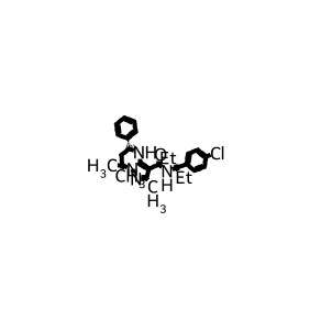 CCC(CC)(NC(=O)c1c(C)nn2c1N[C@@H](c1ccccc1)CC2(C)C)c1ccc(Cl)cc1